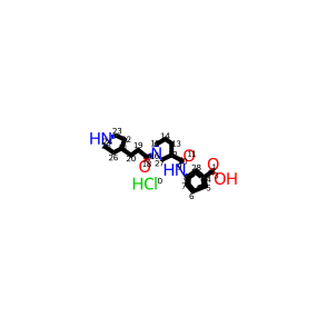 Cl.O=C(O)c1cccc(NC(=O)C2CCCN(C(=O)CCC3CCNCC3)C2)c1